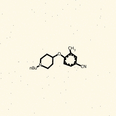 CCCCN1CCC(Oc2ccc(C#N)cc2C)CC1